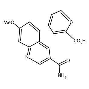 COc1ccc2cc(C(N)=O)cnc2c1.O=C(O)c1ccccn1